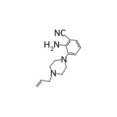 C=CCN1CCN(c2cccc(C#N)c2N)CC1